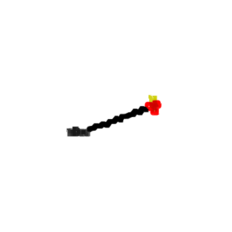 CCCCCCCCCCCCCCCCCCCCCCCCCCCCO[SH](=O)=O